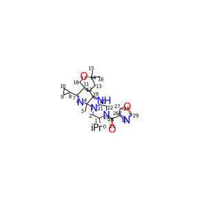 CC(C)C1CN(C2(C)N=C(C3CC3)C3=C(CC(C)(C)OC3)C2=N)CCN1C(=O)c1cocn1